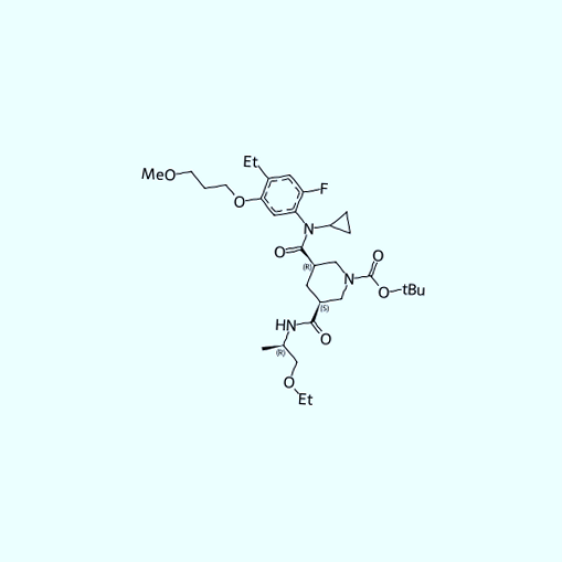 CCOC[C@@H](C)NC(=O)[C@H]1C[C@@H](C(=O)N(c2cc(OCCCOC)c(CC)cc2F)C2CC2)CN(C(=O)OC(C)(C)C)C1